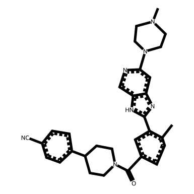 Cc1ccc(C(=O)N2CCC(c3ccc(C#N)cc3)CC2)cc1-c1nc2cc(N3CCN(C)CC3)ncc2[nH]1